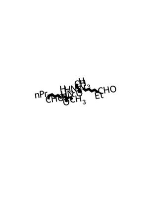 CCC[C@H](C=O)CCCCNC(=O)C(C)NCNC(C)C(=O)NCCCC[C@H](C=O)CC